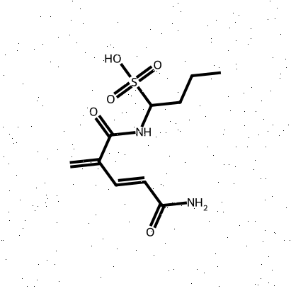 C=C(C=CC(N)=O)C(=O)NC(CCC)S(=O)(=O)O